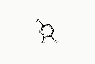 [O-][n+]1nc(Br)ccc1S